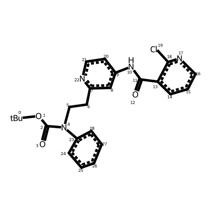 CC(C)(C)OC(=O)N(CCc1cc(NC(=O)c2cccnc2Cl)ccn1)c1ccccc1